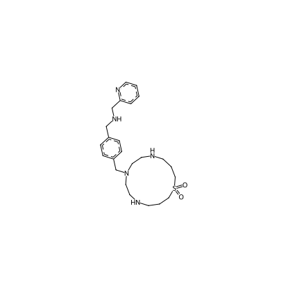 O=S1(=O)CCCNCCN(Cc2ccc(CNCc3ccccn3)cc2)CCNCCC1